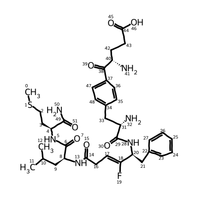 CSCC[C@H](NC(=O)[C@H](CC(C)C)NC(=O)C/C=C(\F)[C@H](Cc1ccccc1)NC(=O)[C@@H](N)Cc1ccc(C(=O)[C@@H](N)CCC(=O)O)cc1)C(N)=O